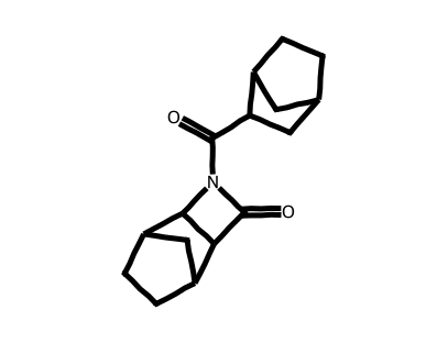 O=C(C1CC2CCC1C2)N1C(=O)C2C3CCC(C3)C21